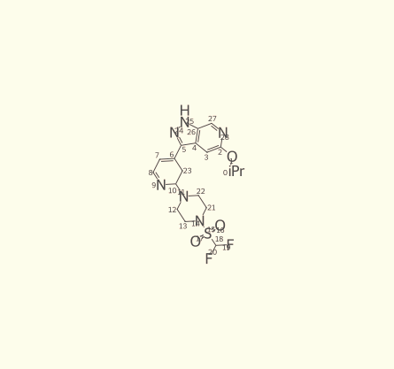 CC(C)Oc1cc2c(C3=CC=NC(N4CCN(S(=O)(=O)C(F)F)CC4)C3)n[nH]c2cn1